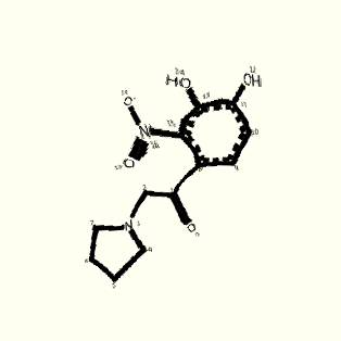 O=C(CN1CCCC1)c1ccc(O)c(O)c1[N+](=O)[O-]